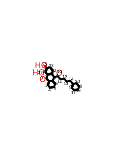 O=C1c2ccccc2C(C(=O)CCCCc2ccccc2)c2ccc(O)c(O)c21